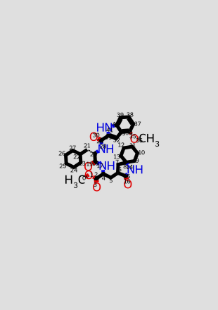 COC(=O)C(CC1CC2(CCCCC2)NC1=O)NC(=O)[C@H](CC1CCCCC1)NC(=O)c1cc2c(OC)cccc2[nH]1